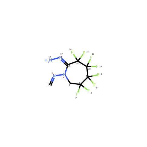 C=NN1CC(F)(F)C(F)(F)C(F)(F)C(F)(F)/C1=N/N